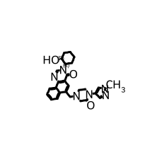 Cn1cc(N2CCN(Cc3cc4c(=O)n([C@@H]5CCCC[C@H]5O)cnc4c4ccccc34)CC2=O)cn1